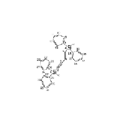 C[Si](C#CC=C[Si](C)(c1ccccc1)c1ccccc1)(c1ccccc1)c1ccccc1